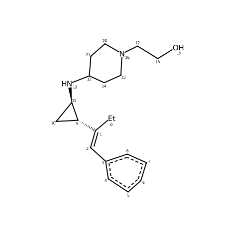 CC/C(=C\c1ccccc1)[C@@H]1C[C@H]1NC1CCN(CCO)CC1